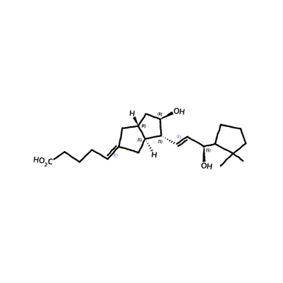 CC1(C)CCCC1[C@@H](O)/C=C/[C@@H]1[C@H]2C/C(=C/CCCC(=O)O)C[C@@H]2C[C@H]1O